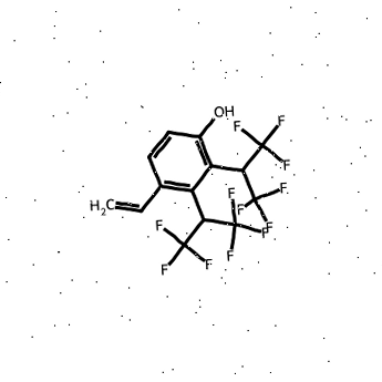 C=Cc1ccc(O)c(C(C(F)(F)F)C(F)(F)F)c1C(C(F)(F)F)C(F)(F)F